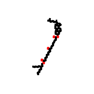 CCCCCC(CCCCC)CCOC(=O)CCCCCCCC(=O)CCCCCCCC(=O)O[C@H]1CC[C@@]2(C)C(=CCC3C2CC[C@@]2(C)C3CC[C@@H]2[C@H](C)CCCC(C)C)C1